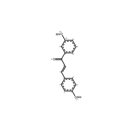 COc1ccc(C=CC(=O)c2cccc(OC)c2)cc1